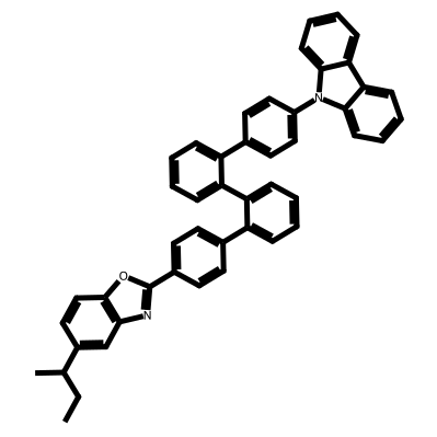 CCC(C)c1ccc2oc(-c3ccc(-c4ccccc4-c4ccccc4-c4ccc(-n5c6ccccc6c6ccccc65)cc4)cc3)nc2c1